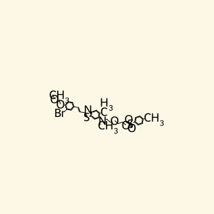 COCOc1ccc(/C=C/c2nc3cc(C)c(N(C)CCOCCOS(=O)(=O)c4ccc(C)cc4)cc3s2)cc1Br